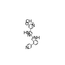 COc1cncc(-c2cc(-c3cc4c(-c5ccncc5)cccc4[nH]3)n[nH]2)c1